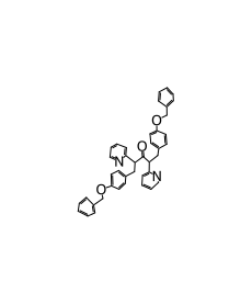 O=C(C(Cc1ccc(OCc2ccccc2)cc1)c1ccccn1)C(Cc1ccc(OCc2ccccc2)cc1)c1ccccn1